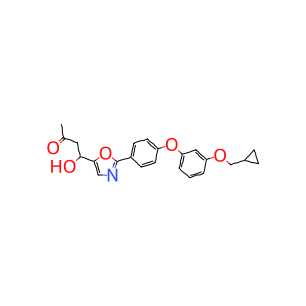 CC(=O)CC(O)c1cnc(-c2ccc(Oc3cccc(OCC4CC4)c3)cc2)o1